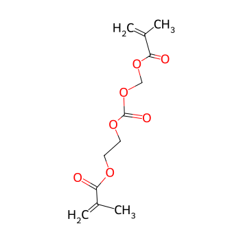 C=C(C)C(=O)OCCOC(=O)OCOC(=O)C(=C)C